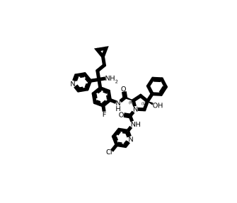 NC(CCC1CC1)(c1ccncc1)c1ccc(F)c(NC(=O)[C@H]2C[C@](O)(C3C=CC=CC3)CN2C(=O)Nc2ccc(Cl)cn2)c1